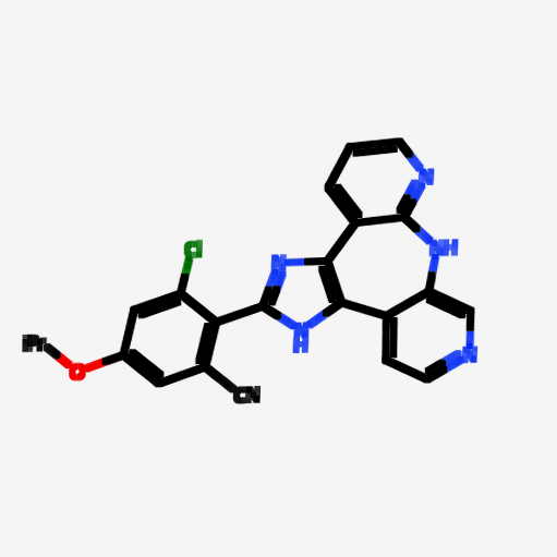 CC(C)Oc1cc(Cl)c(-c2nc3c([nH]2)-c2ccncc2Nc2ncccc2-3)c(C#N)c1